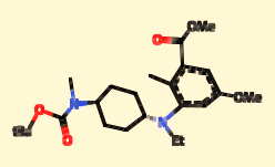 CCN(c1cc(OC)cc(C(=O)OC)c1C)[C@H]1CC[C@H](N(C)C(=O)OC(C)(C)C)CC1